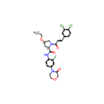 CCO[C@@H]1C[C@H](C(=O)Nc2ccc(N3CCOCC3=O)cc2F)N(C(=O)/C=C/c2ccc(Cl)c(Cl)c2)C1